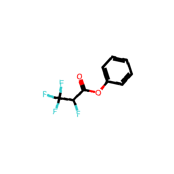 O=C(Oc1ccccc1)C(F)C(F)(F)F